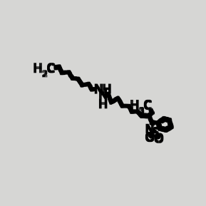 C=CCCCCCCCNNCCCCCCC/C=C(\CC)C1=NS(=O)(=O)c2ccccc21